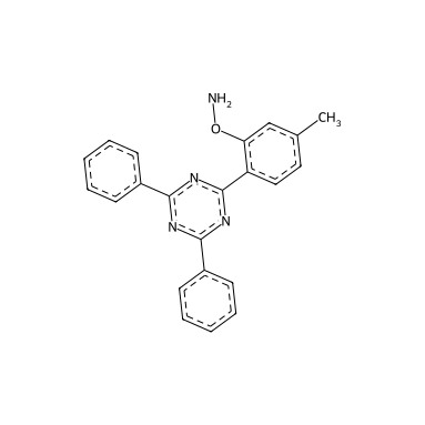 Cc1ccc(-c2nc(-c3ccccc3)nc(-c3ccccc3)n2)c(ON)c1